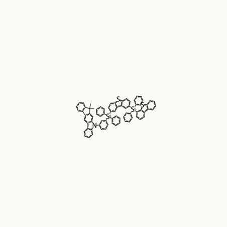 CC1(C)c2ccccc2-c2cc3c4ccccc4n(-c4cccc([Si](c5ccccc5)(c5ccccc5)c5ccc6sc7ccc([Si](c8ccccc8)(c8ccccc8)c8cccc9c8sc8ccccc89)cc7c6c5)c4)c3cc21